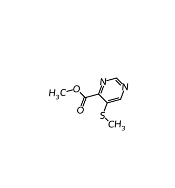 COC(=O)c1ncncc1SC